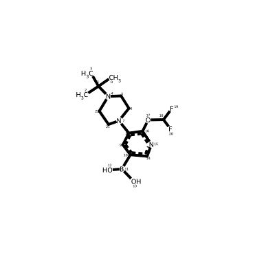 CC(C)(C)N1CCN(c2cc(B(O)O)cnc2OC(F)F)CC1